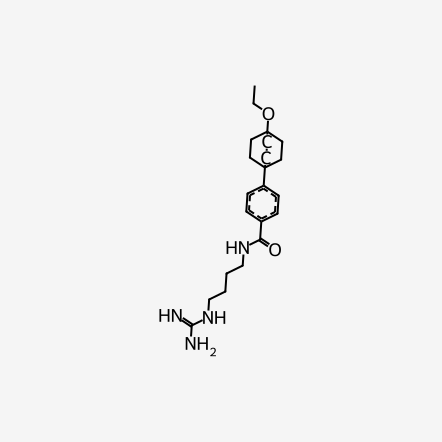 CCOC12CCC(c3ccc(C(=O)NCCCCNC(=N)N)cc3)(CC1)CC2